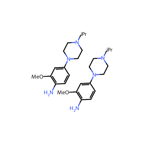 COc1cc(N2CCN(C(C)C)CC2)ccc1N.COc1cc(N2CCN(C(C)C)CC2)ccc1N